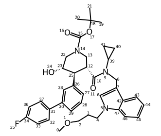 COCCCn1cc(CN(C(=O)[C@H]2CN(C(=O)OC(C)(C)C)C[C@@H](O)[C@@H]2c2cccc(-c3ccc(F)cc3)c2)C2CC2)c2ccccc21